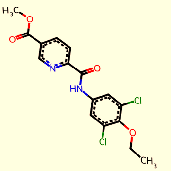 CCOc1c(Cl)cc(NC(=O)c2ccc(C(=O)OC)cn2)cc1Cl